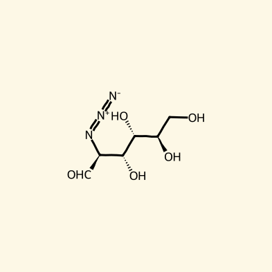 [N-]=[N+]=N[C@H](C=O)[C@@H](O)[C@H](O)[C@H](O)CO